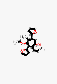 C=COC1=C(c2ccco2)C(/C=C\C)=C(O)CC(c2ccco2)=C1C